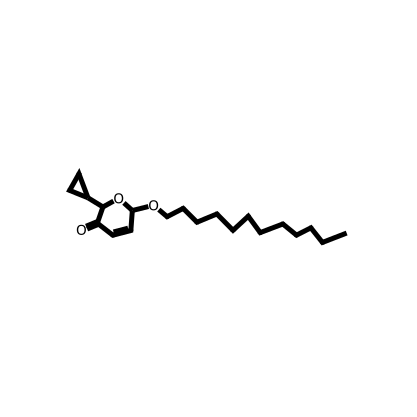 CCCCCCCCCCCCOC1C=CC(=O)C(C2CC2)O1